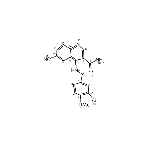 COc1ccc(CNc2c(C(N)=O)cnc3ccc(C#N)cc23)cc1Cl